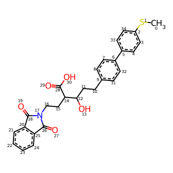 CSc1ccc(-c2ccc(CCC(O)C(CCN3C(=O)c4ccccc4C3=O)C(=O)O)cc2)cc1